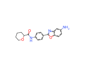 Nc1ccc2oc(-c3ccc(NC(=O)C4CCCCO4)cc3)nc2c1